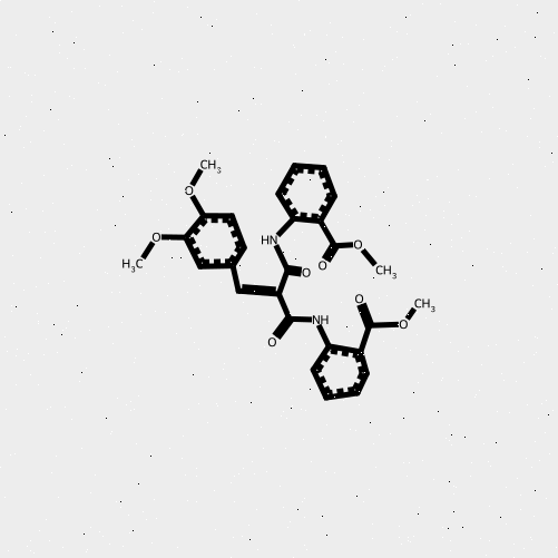 COC(=O)c1ccccc1NC(=O)C(=Cc1ccc(OC)c(OC)c1)C(=O)Nc1ccccc1C(=O)OC